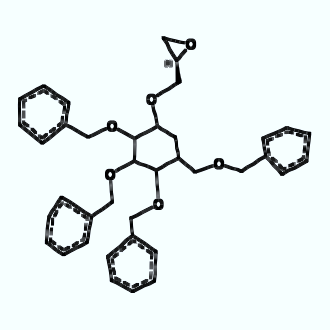 c1ccc(COCC2CC(OC[C@H]3CO3)C(OCc3ccccc3)C(OCc3ccccc3)C2OCc2ccccc2)cc1